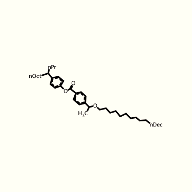 CCCCCCCCCCCCCCCCCCCCOC(C)c1ccc(C(=O)Oc2ccc(C(CCC)CCCCCCCC)cc2)cc1